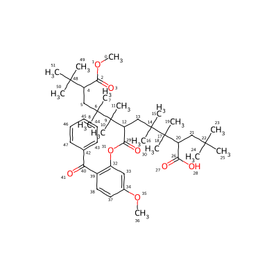 COC(=O)C(CC(C)(C)C(C)(C)C(CC(C)(C)C(C)(C)C(CC(C)(C)C)C(=O)O)C(=O)Oc1cc(OC)ccc1C(=O)c1ccccc1)C(C)(C)C